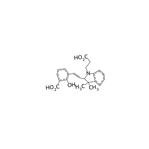 CC1(C)c2ccccc2N(CCC(=O)O)C1/C=C/c1cccc(C(=O)O)c1O